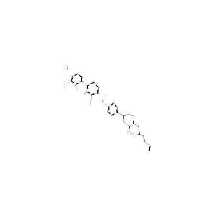 C=CCCC1CCC2CC(c3ccc(COc4ccc(-c5ccc(OCC)c(F)c5F)c(F)c4F)cc3)CCC2C1